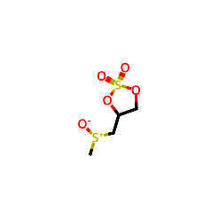 C[S+]([O-])CC1COS(=O)(=O)O1